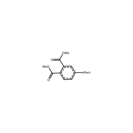 [CH2]CCCCc1ccc(C(=O)OC)c(C(=O)OC)c1